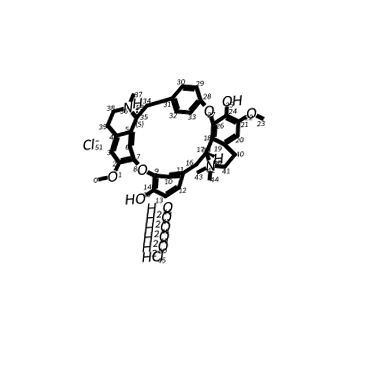 COc1cc2c3cc1Oc1cc(ccc1O)C[C@@H]1c4c(cc(OC)c(O)c4Oc4ccc(cc4)C[C@@H]3N(C)CC2)CC[N+]1(C)C.Cl.O.O.O.O.O.[Cl-]